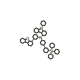 c1ccc(-n2c3ccccc3c3c(N(c4ccc(-c5cccc([Si](c6ccccc6)(c6ccccc6)c6ccccc6)c5)cc4)c4cccc(-c5cccc6c5oc5ccccc56)c4)cccc32)cc1